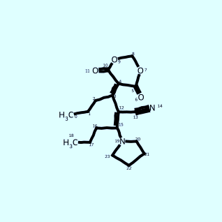 CCCC(=C1C(=O)OCOC1=O)/C(C#N)=C(\CCC)N1CCCC1